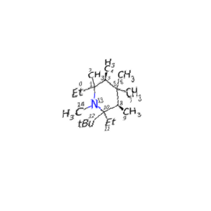 CCC1(C)[C@@H](C)C(C)(C)[C@@H](C)C(CC)(C(C)(C)C)N1C